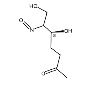 CC(=O)CC[C@H](O)C(CO)N=O